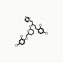 Clc1ccc(CCC(Cn2ccnc2)OC2CCCC(COc3ccc(Cl)cc3Cl)O2)c(Cl)c1